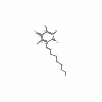 CCCCCCCCCC1=C(C)C(=O)C(C)=C(C)C1=O